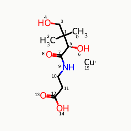 CC(C)(CO)[C@@H](O)C(=O)NCCC(=O)O.[Cu]